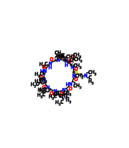 C/C=C/C[C@@H](C)CC1C(=O)NC(CC)C(=O)N(C)[C@H](SCCCN(CC)CC)C(=O)N(C)[C@@H](CC(C)(C)OC)C(=O)N[C@@H](C(C)C)C(=O)N(C)[C@@H](CC(C)C)C(=O)N[C@@H](C)C(=O)N[C@H](C)C(=O)N(C)[C@H](CC(C)C)C(=O)N(C)[C@H](CC(C)C)C(=O)N(C)[C@H](C(C)C)C(=O)N1C